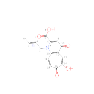 C/C=C/Cn1c(C(=O)O)cc(=O)c2cc(O)c(=O)ccc21